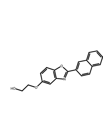 OCCOc1ccc2oc(-c3ccc4ccccc4c3)nc2c1